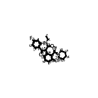 CCNC(=O)c1c(-c2ccc(F)cc2)oc2ccc(O)c(C(=O)N3CCCCC3)c12